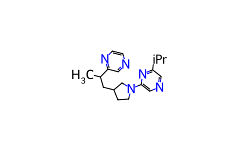 CC(C)c1cncc(N2CCC(CC(C)c3cnccn3)C2)n1